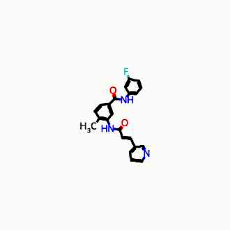 Cc1ccc(C(=O)Nc2cccc(F)c2)cc1NC(=O)C=Cc1cccnc1